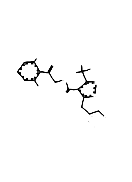 C[C@@H](CN)Cc1[nH]nc(C(F)(F)F)c1C(=O)OCC(=O)c1c(F)cccc1F